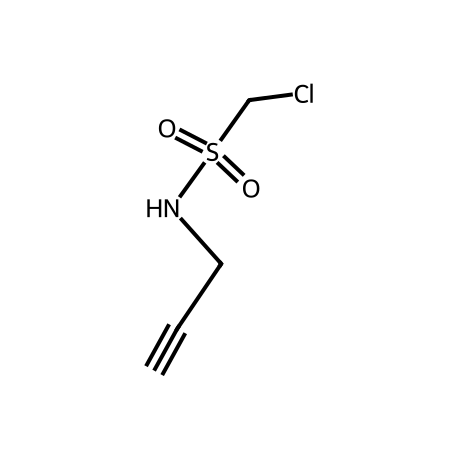 C#CCNS(=O)(=O)CCl